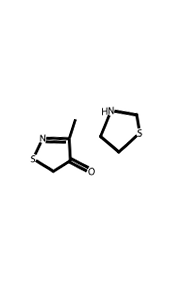 C1CSCN1.CC1=NSCC1=O